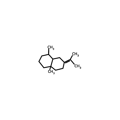 CC(C)=C1CCC2(C)CCCC(C)C2C1